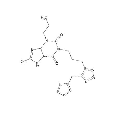 CCCN1C(=O)N(CCCn2nnnc2Cc2cccs2)C(=O)C2NC(Cl)=NC21